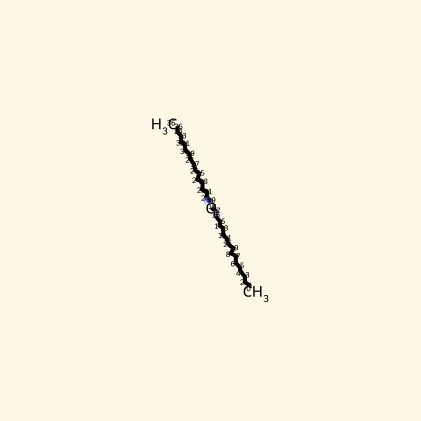 CCCCCCCCCCCCCCCC/C=C/O/C=C/CCCCCCCCCCCCCCCC